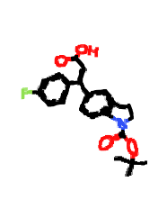 CC(C)(C)OC(=O)N1CCc2cc(C(=CC(=O)O)c3ccc(F)cc3)ccc21